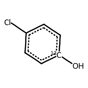 O[13c]1ccc(Cl)cc1